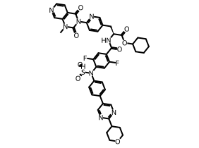 Cn1c(=O)n(-c2ccc(C[C@H](NC(=O)c3cc(F)c(N(c4ccc(-c5cnc(C6CCOCC6)nc5)cc4)[SH](=O)=O)cc3F)C(=O)OC3CCCCC3)cn2)c(=O)c2ccncc21